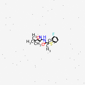 CC(C)(Sc1cccc(F)c1)C(=O)Nc1cc(C(C)(C)C)on1